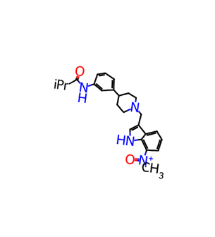 CC(C)C(=O)Nc1cccc(C2CCN(Cc3c[nH]c4c([N+](C)=O)cccc34)CC2)c1